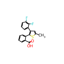 Cc1cc(-c2cccc(F)c2F)c(-c2ccccc2C(=O)O)s1